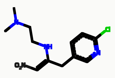 CN(C)CCNC(=C[N+](=O)[O-])Cc1ccc(Cl)nc1